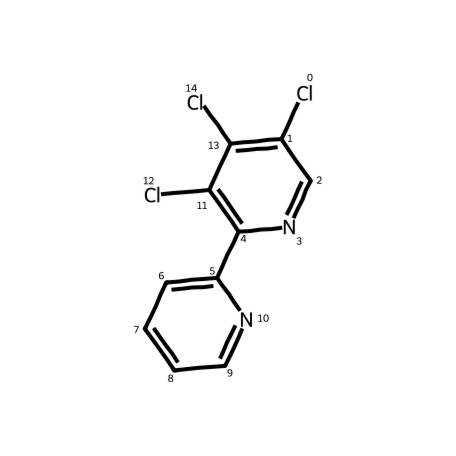 Clc1cnc(-c2ccccn2)c(Cl)c1Cl